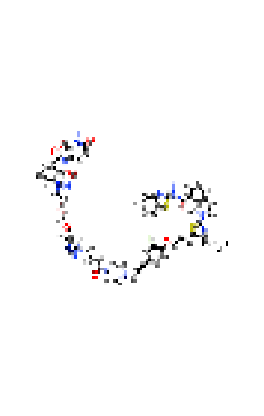 O=C1CC[C@@H](N2C(=O)c3cccc(NCCOCCOCc4cn(CCCC(=O)N5CCN(CC#Cc6ccc(OCCCc7sc(N8CCc9cccc(C(=O)Nc%10nc%11ccccc%11s%10)c9C8)nc7C(=O)O)c(F)c6)CC5)nn4)c3C2=O)C(=O)N1